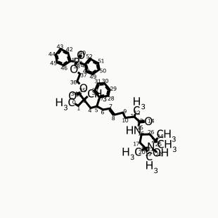 CCC(C)(CC(C/C=C/CCC(C)C(=O)NC1CC(C)(C)N(O)C(C)(C)C1)c1ccccc1)C(=O)OCCOP(=O)(c1ccccc1)c1ccccc1